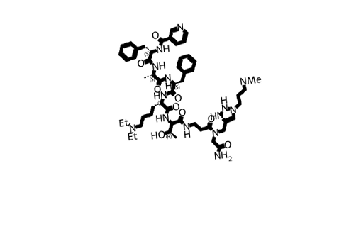 CCN(CC)CCCC[C@H](NC(=O)[C@H](Cc1ccccc1)NC(=O)[C@H](C)NC(=O)[C@H](Cc1ccccc1)NC(=O)c1cccnc1)C(=O)NC(C(=O)NCCC(=O)N(CC(N)=O)CC1=CN(CCCNC)NN1)[C@@H](C)O